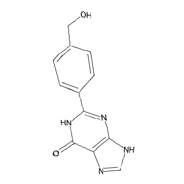 O=c1[nH]c(-c2ccc(CO)cc2)nc2[nH]cnc12